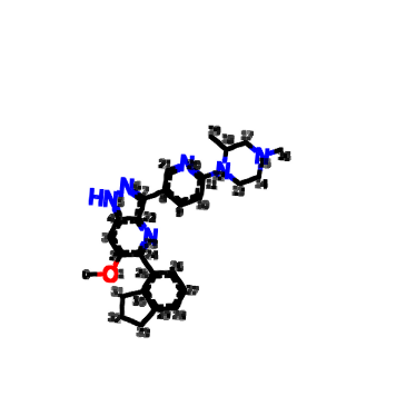 COc1cc2[nH]nc(-c3ccc(N4CCN(C)CC4C)nc3)c2nc1-c1cccc2c1CCC2